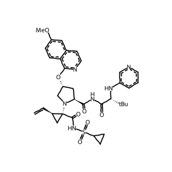 C=C[C@@H]1C[C@@]1(C(=O)NS(=O)(=O)C1CC1)N1C[C@H](Oc2nccc3cc(OC)ccc23)C[C@H]1C(=O)NC(=O)[C@H](Nc1cccnc1)C(C)(C)C